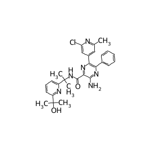 Cc1cc(-c2nc(C(=O)NC(C)(C)c3cccc(C(C)(C)O)n3)c(N)nc2-c2ccccc2)cc(Cl)n1